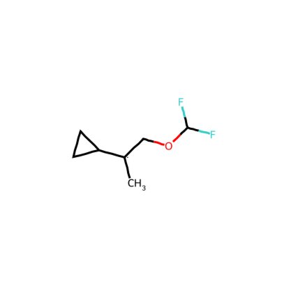 C[C](COC(F)F)C1CC1